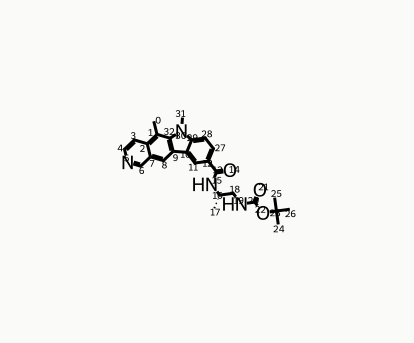 Cc1c2ccncc2cc2c3cc(C(=O)N[C@@H](C)CNC(=O)OC(C)(C)C)ccc3n(C)c12